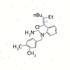 CCCC/C(CC)=C(\Cl)c1ccccc1N(CN)Cc1ccc(C)c(C)c1